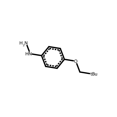 CC(C)(C)COc1ccc(NN)cc1